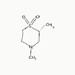 C[C@@H]1CN(C)CCS1(=O)=O